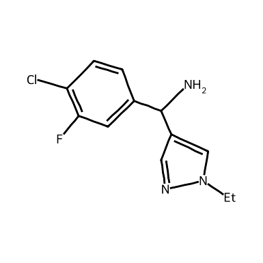 CCn1cc(C(N)c2ccc(Cl)c(F)c2)cn1